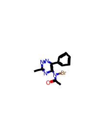 CC(=O)N(Br)c1nc(C)nnc1-c1ccccc1